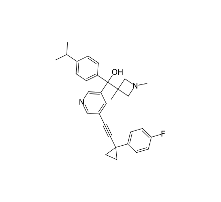 CC(C)c1ccc(C(O)(c2cncc(C#CC3(c4ccc(F)cc4)CC3)c2)C2(C)CN(C)C2)cc1